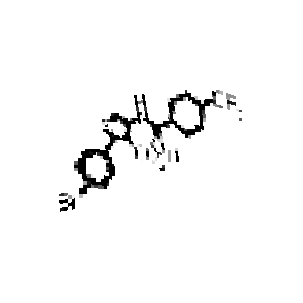 O=C(O)c1c(NC(=O)C2CCC(C(F)(F)F)CC2)csc1-c1ccc(Br)cc1